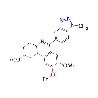 CCOc1cc2c(cc1OC)C(c1ccc3c(c1)nnn3C)=NC1CCC(OC(C)=O)CC21